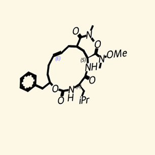 CON(C)C(=O)[C@@H]1CC(C(=O)N(C)C)C/C=C/CCC(Cc2ccccc2)OC(=O)N[C@H](CC(C)C)C(=O)N1